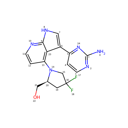 Nc1nccc(-c2c[nH]c3nccc(N4CC(F)(F)C[C@H]4CO)c23)n1